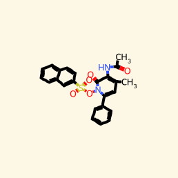 CC(=O)Nc1c(C)cc(-c2ccccc2)n(OS(=O)(=O)c2ccc3ccccc3c2)c1=O